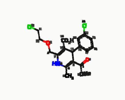 COC(=O)C1=C(C)NC(COCCCl)=C(C(=O)O)C1c1cccc(Cl)c1